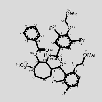 COCOc1ccc(F)c(F)c1C(=O)C1CCCN(C(=O)O)C(OC(=O)c2ccccc2)C1NC(=O)c1cc(C(C)C)c(OCOC)c(C(C)C)c1